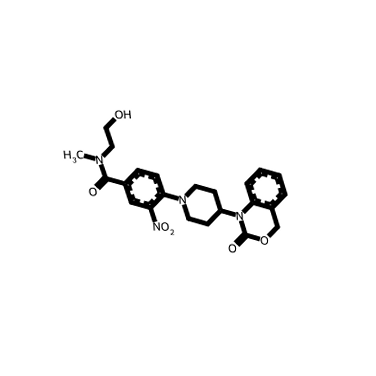 CN(CCO)C(=O)c1ccc(N2CCC(N3C(=O)OCc4ccccc43)CC2)c([N+](=O)[O-])c1